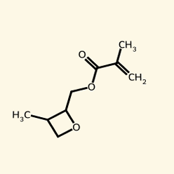 C=C(C)C(=O)OCC1OCC1C